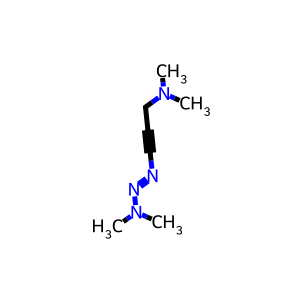 CN(C)CC#C/N=N/N(C)C